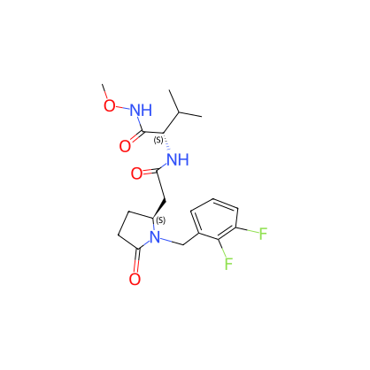 CONC(=O)[C@@H](NC(=O)C[C@@H]1CCC(=O)N1Cc1cccc(F)c1F)C(C)C